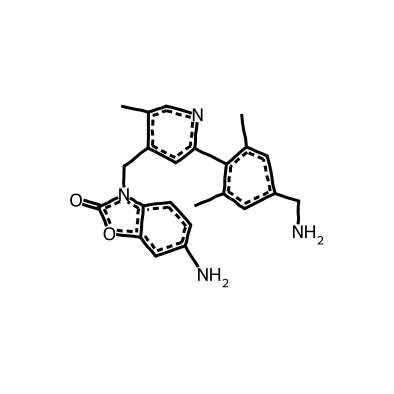 Cc1cnc(-c2c(C)cc(CN)cc2C)cc1Cn1c(=O)oc2cc(N)ccc21